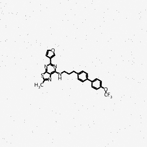 Cc1nc2c(NCCCc3ccc(-c4ccc(OC(F)(F)F)cc4)cc3)nc(-c3ccoc3)nc2s1